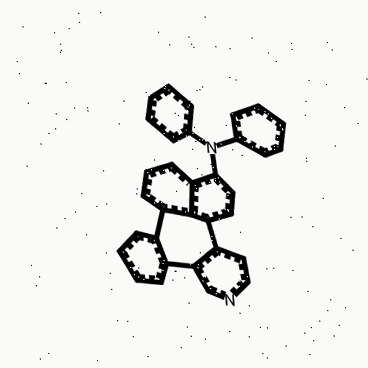 c1ccc(N(c2ccccc2)c2ccc3c4c(cccc24)-c2ccccc2-c2cnccc2-3)cc1